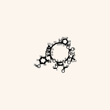 CC[C@@H]1[C@@H]2CN(C(=O)[C@H](C(C)(C)C)NC(=O)O[C@@H]3CCC[C@H]3CCCC3(CC3)C(F)(F)c3nc4ccc(OC)cc4nc3O2)[C@@H]1C(C)=O